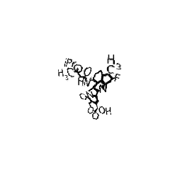 Cc1c(F)cc2nc3c(c4c2c1CC[C@@H]4NC(=O)C[C@@H](C)OC(C)C)Cn1c-3cc2c(c1=O)COC(=O)[C@H]2O